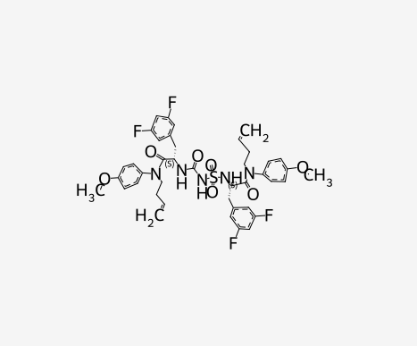 C=CCCN(C(=O)[C@H](Cc1cc(F)cc(F)c1)NC(=O)NS(=O)(=O)N[C@@H](Cc1cc(F)cc(F)c1)C(=O)N(CCC=C)c1ccc(OC)cc1)c1ccc(OC)cc1